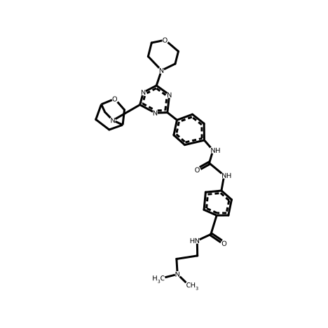 CN(C)CCNC(=O)c1ccc(NC(=O)Nc2ccc(-c3nc(N4CCOCC4)nc(N4CC5CCC4CO5)n3)cc2)cc1